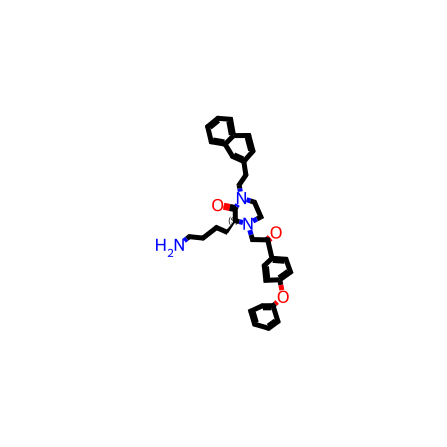 NCCCC[C@H]1C(=O)N(CCc2ccc3ccccc3c2)CCN1CC(=O)c1ccc(Oc2ccccc2)cc1